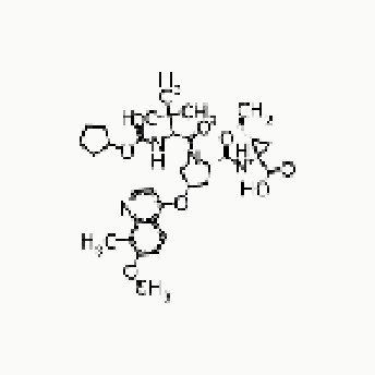 C=C[C@@H]1C[C@]1(NC(=O)[C@@H]1C[C@@H](Oc2ccnc3c(C)c(OC)ccc23)CN1C(=O)[C@@H](NC(=O)OC1CCCC1)C(C)(C)C)C(=O)O